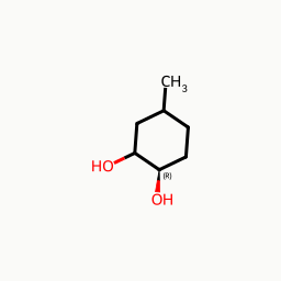 CC1CC[C@@H](O)C(O)C1